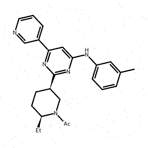 CC[C@H]1CC[C@@H](c2nc(Nc3cccc(C)c3)cc(-c3cccnc3)n2)CN1C(C)=O